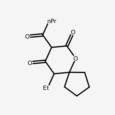 CCCC(=O)C1C(=O)OC2(CCCC2)C(CC)C1=O